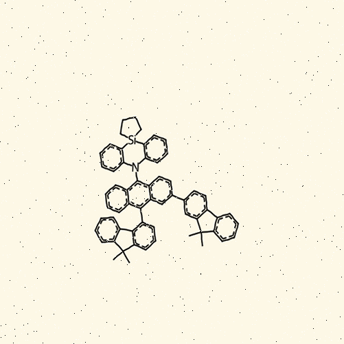 CC1(C)c2ccccc2-c2ccc(-c3ccc4c(N5c6ccccc6[Si]6(CCCC6)c6ccccc65)c5ccccc5c(-c5cccc6c5-c5ccccc5C6(C)C)c4c3)cc21